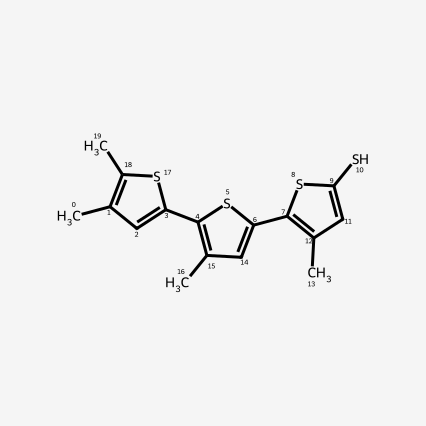 Cc1cc(-c2sc(-c3sc(S)cc3C)cc2C)sc1C